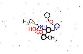 CSCCC(NC(=O)c1ccc(CN2CCCC2COCC2CCCCC2)cc1-c1ccccc1C)C(=O)O